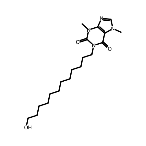 Cn1cnc2c1c(=O)n(CCCCCCCCCCCCO)c(=O)n2C